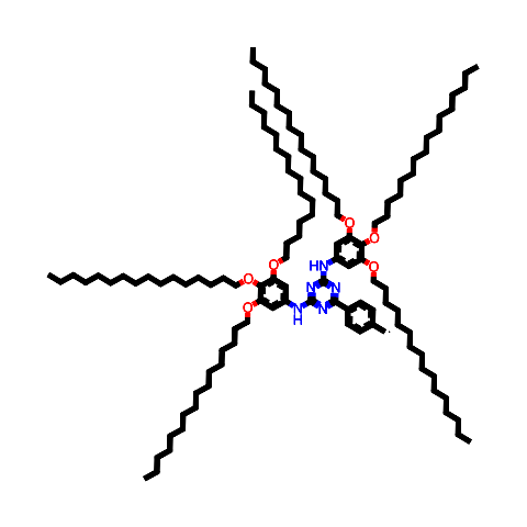 [CH2]c1ccc(-c2nc(Nc3cc(OCCCCCCCCCCCCCCCC)c(OCCCCCCCCCCCCCCCC)c(OCCCCCCCCCCCCCCCC)c3)nc(Nc3cc(OCCCCCCCCCCCCCCCC)c(OCCCCCCCCCCCCCCCC)c(OCCCCCCCCCCCCCCCC)c3)n2)cc1